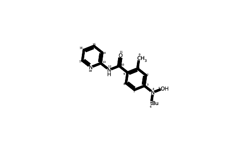 Cc1cc(N(O)C(C)(C)C)ccc1C(=O)Nc1ccccn1